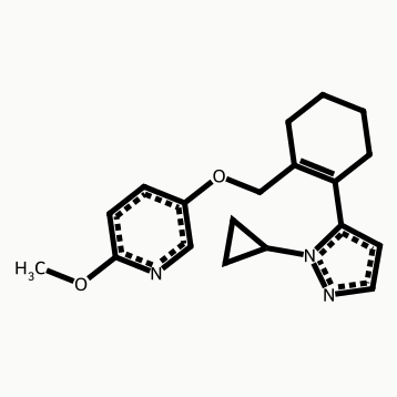 COc1ccc(OCC2=C(c3ccnn3C3CC3)CCCC2)cn1